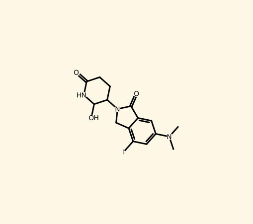 CN(C)c1cc(I)c2c(c1)C(=O)N(C1CCC(=O)NC1O)C2